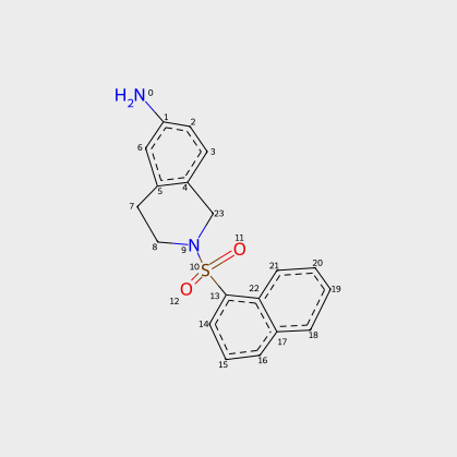 Nc1ccc2c(c1)CCN(S(=O)(=O)c1cccc3ccccc13)C2